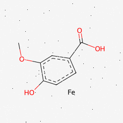 COc1cc(C(=O)O)ccc1O.[Fe]